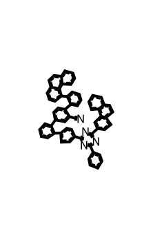 N#Cc1cc(-c2ccccc2-c2ccc(-c3nc(-c4ccccc4)nc(-c4ccc5ccc6ccccc6c5c4)n3)cc2)ccc1-c1ccccc1-c1cccc2ccc3ccccc3c12